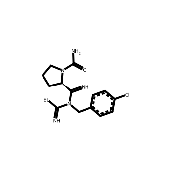 CCC(=N)N(Cc1ccc(Cl)cc1)C(=N)[C@H]1CCCN1C(N)=O